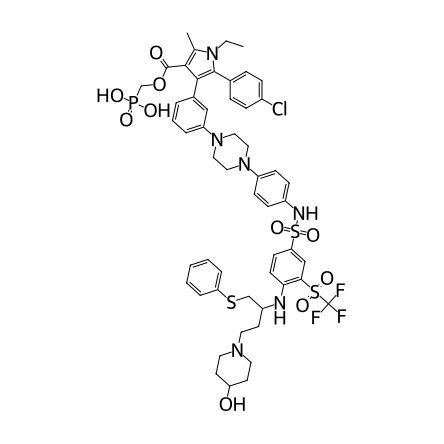 CCn1c(C)c(C(=O)OCP(=O)(O)O)c(-c2cccc(N3CCN(c4ccc(NS(=O)(=O)c5ccc(NC(CCN6CCC(O)CC6)CSc6ccccc6)c(S(=O)(=O)C(F)(F)F)c5)cc4)CC3)c2)c1-c1ccc(Cl)cc1